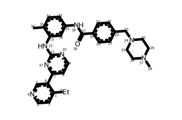 CCc1ccncc1-c1ccnc(Nc2cc(NC(=O)c3ccc(CN4CCN(C)CC4)cc3)ccc2C)n1